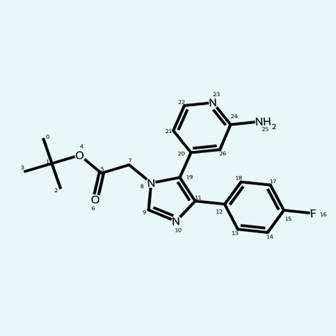 CC(C)(C)OC(=O)Cn1cnc(-c2ccc(F)cc2)c1-c1ccnc(N)c1